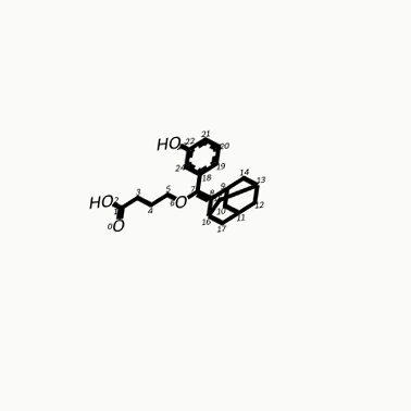 O=C(O)CCCOC(=C1C2CC3CC(C2)CC1C3)c1cccc(O)c1